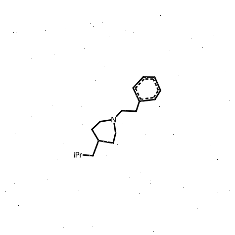 CC(C)CC1CCN(CCc2ccccc2)CC1